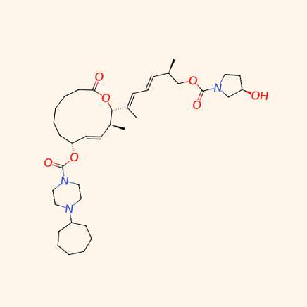 C/C(=C\C=C\[C@@H](C)COC(=O)N1CC[C@@H](O)C1)[C@H]1OC(=O)CCCCC[C@@H](OC(=O)N2CCN(C3CCCCCC3)CC2)/C=C/[C@@H]1C